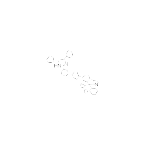 C1=C(c2ccccc2)N=C(c2cccc(-c3ccc(-c4ccc5c(c4)C4(c6ccccc6Oc6ccccc64)c4ncccc4-5)cc3)c2)NC1c1ccccc1